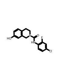 O=C(Nc1ccc(Cl)cc1F)N1CCc2ccc(O)cc2C1